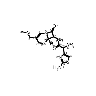 CSCC1=CN2C(=O)C(NC(=O)C(N)c3csc(N)n3)[C@@H]2SC1